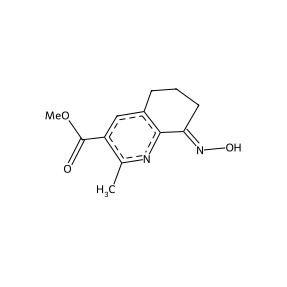 COC(=O)c1cc2c(nc1C)C(=NO)CCC2